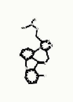 CCCN(CCC)OCc1nnc2n1-c1cccc(Cl)c1C(c1ccccc1Cl)=NC2